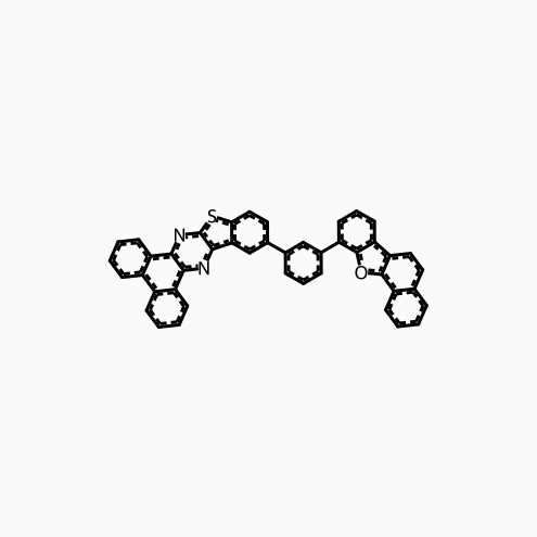 c1cc(-c2ccc3sc4nc5c6ccccc6c6ccccc6c5nc4c3c2)cc(-c2cccc3c2oc2c4ccccc4ccc32)c1